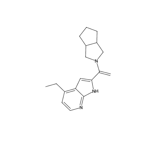 C=C(c1cc2c(CC)ccnc2[nH]1)N1CC2CCCC2C1